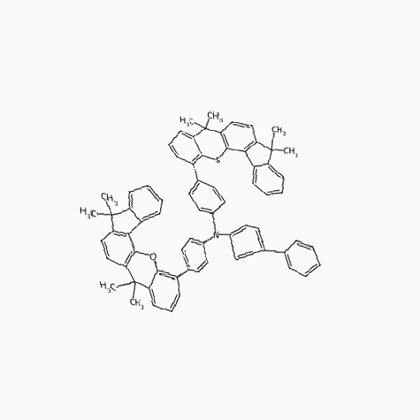 CC1(C)c2cccc(-c3ccc(N(c4ccc(-c5ccccc5)cc4)c4ccc(-c5cccc6c5Sc5c(ccc7c5-c5ccccc5C7(C)C)C6(C)C)cc4)cc3)c2Oc2c1ccc1c2-c2ccccc2C1(C)C